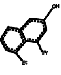 CCc1cccc2cc(O)cc(C(C)C)c12